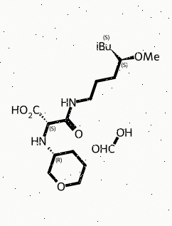 CC[C@H](C)[C@H](CCCNC(=O)[C@H](N[C@@H]1CCCOC1)C(=O)O)OC.O=CO